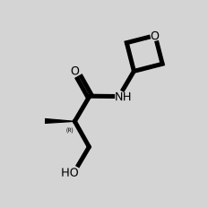 C[C@H](CO)C(=O)NC1COC1